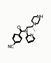 C[C@H](CN(C(=O)c1ccc(C#N)cc1)c1ccccn1)N1CCNCC1